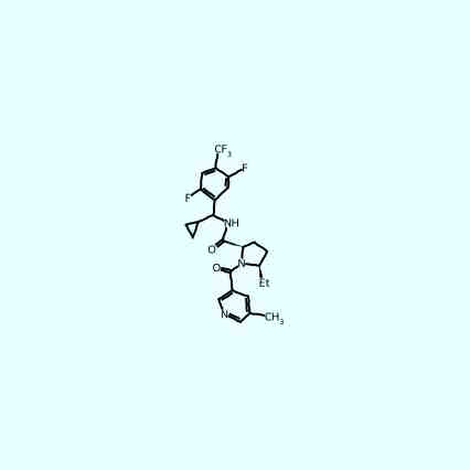 CC[C@@H]1CC[C@H](C(=O)NC(c2cc(F)c(C(F)(F)F)cc2F)C2CC2)N1C(=O)c1cncc(C)c1